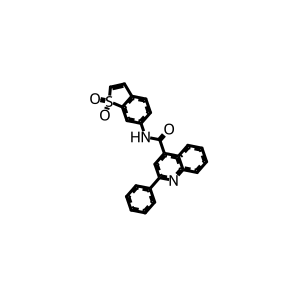 O=C(Nc1ccc2c(c1)S(=O)(=O)C=C2)c1cc(-c2ccccc2)nc2ccccc12